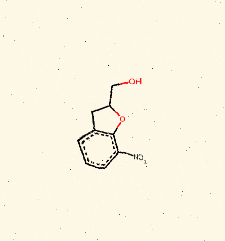 O=[N+]([O-])c1cccc2c1OC(CO)C2